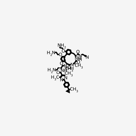 Cc1nc(-c2ccc(C3(C)CC3)cc2)nc(C)c1C(=O)N[C@@H](CCN)C(=O)N(C)[C@@H]1C(=O)N[C@@H](C)C(=O)N[C@H](C(=O)NCC#N)Cc2ccc(OCCN)c(c2)-c2cc1ccc2OCCN